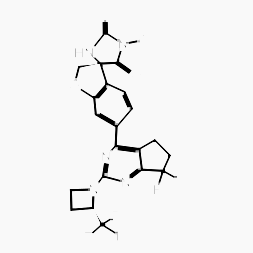 CN1C(=O)N[C@]2(COc3cc(-c4nc(N5CC[C@@H]5C(F)(F)F)nc5c4CCC5(F)F)ccc32)C1=O